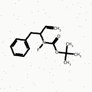 C=CC(Cc1ccccc1)N(F)C(=O)OC(C)(C)C